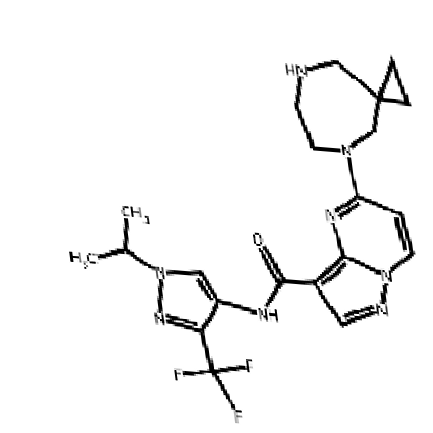 CC(C)n1cc(NC(=O)c2cnn3ccc(N4CCNCC5(CC5)C4)nc23)c(C(F)(F)F)n1